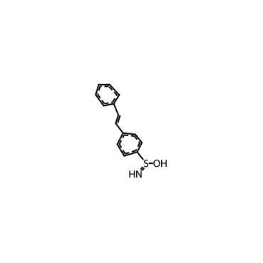 N=S(O)c1ccc(C=Cc2ccccc2)cc1